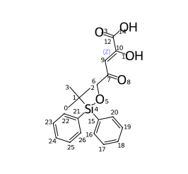 CC(C)(C)[Si](OCC(=O)/C=C(\O)C(=O)O)(c1ccccc1)c1ccccc1